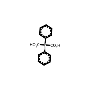 O=C(O)[PH](C(=O)O)(c1ccccc1)c1ccccc1